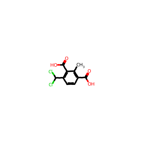 Cc1c(C(=O)O)ccc(C(Cl)Cl)c1C(=O)O